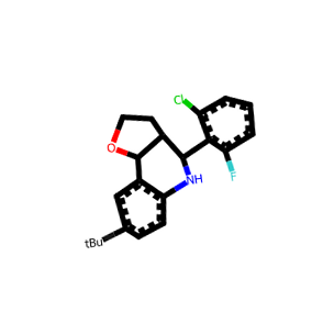 CC(C)(C)c1ccc2c(c1)C1OCCC1C(c1c(F)cccc1Cl)N2